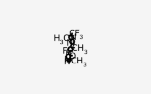 Cc1cc(N2CCn3ncc(C)c3C2=O)c(F)cc1-c1ccc2nc(C(F)(F)F)cc(C)c2n1